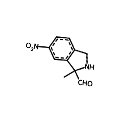 CC1(C=O)NCc2ccc([N+](=O)[O-])cc21